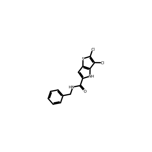 O=C(NCc1ccccc1)c1cc2sc(Cl)c(Cl)c2[nH]1